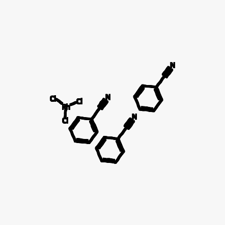 N#Cc1ccccc1.N#Cc1ccccc1.N#Cc1ccccc1.[Cl][Rh]([Cl])[Cl]